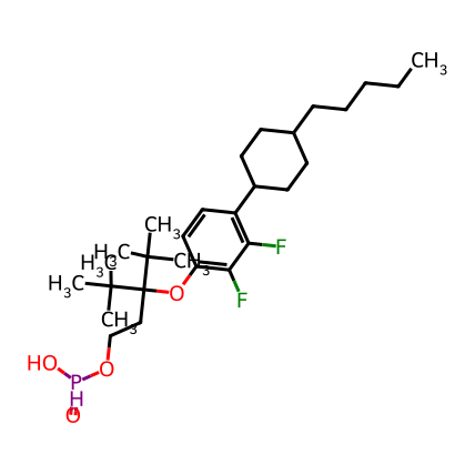 CCCCCC1CCC(c2ccc(OC(CCO[PH](=O)O)(C(C)(C)C)C(C)(C)C)c(F)c2F)CC1